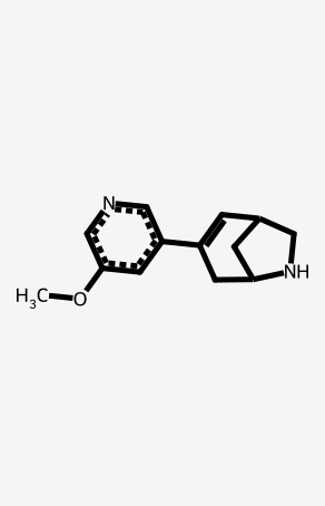 COc1cncc(C2=CC3CNC(C2)C3)c1